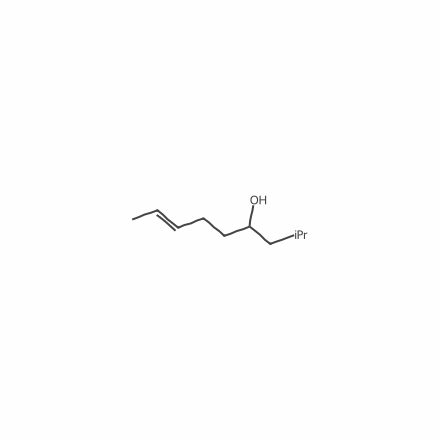 CC=CCCC(O)CC(C)C